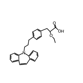 CCOC(Cc1ccc(CCCN2c3ccccc3C=Cc3ccccc32)cc1)C(=O)O